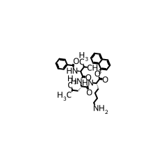 CC(C)C[C@H](NC(=O)[C@@H](NC(=O)c1ccccc1)C(C)C)C(=O)N[C@@H](CCCCN)C(=O)Oc1cccc2ccccc12